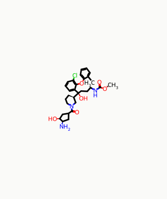 COC(=O)NCCC[C@@](O)(c1cccc(Cl)c1Oc1ccccc1C)[C@@H]1CCCN(C(=O)C2C[C@@H](N)[C@@H](O)C2)C1